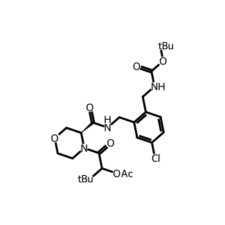 CC(=O)OC(C(=O)N1CCOC[C@H]1C(=O)NCc1cc(Cl)ccc1CNC(=O)OC(C)(C)C)C(C)(C)C